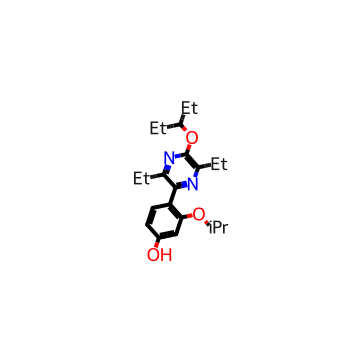 CCc1nc(-c2ccc(O)cc2OC(C)C)c(CC)nc1OC(CC)CC